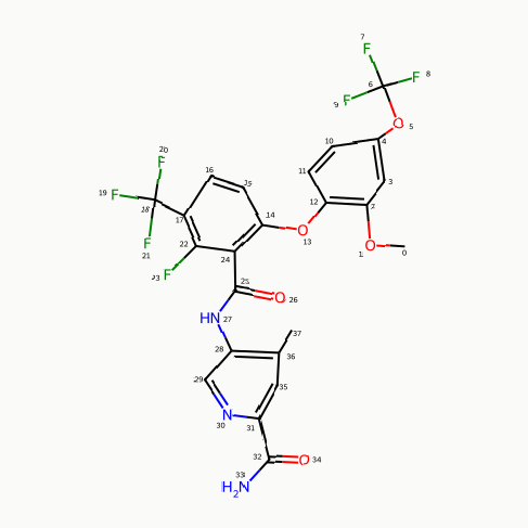 COc1cc(OC(F)(F)F)ccc1Oc1ccc(C(F)(F)F)c(F)c1C(=O)Nc1cnc(C(N)=O)cc1C